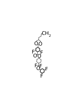 C=CCCC1COC(c2cc(F)c(C(=O)OC3CCC(C(F)(F)Oc4cc(F)cc(F)c4)CC3)c(F)c2)OC1